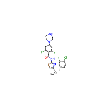 C=C[C@@H](Cc1ccc(Cl)c(F)c1)c1csc(NC(=O)c2c(F)cc(N3CCNCC3)cc2F)n1